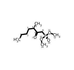 CCCC[C@@H](C)C(=O)CP(=O)(OC)OC